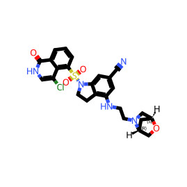 N#Cc1cc(NCCN2C[C@@H]3C[C@@H]2CO3)c2c(c1)N(S(=O)(=O)c1cccc3c(=O)[nH]cc(Cl)c13)CC2